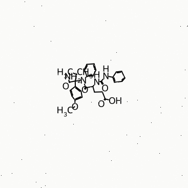 COc1ccc(C(C(N)=O)(C(C)C)N(C(=O)C(CCC(=O)O)NC(=O)Nc2ccccc2)c2ccccc2)cc1